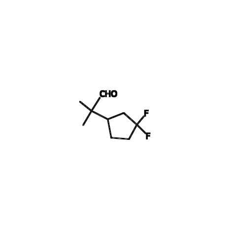 CC(C)(C=O)C1CCC(F)(F)C1